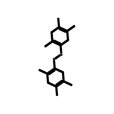 CC1=C(C)CC(SSC2=C(C)CC(C)=C(C)C2)=C(C)C1